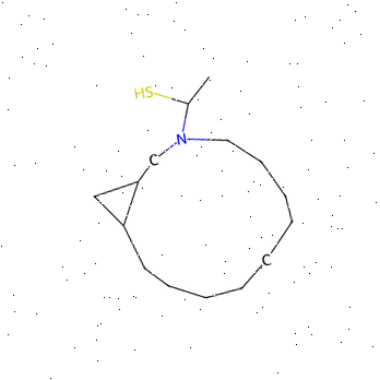 CC(S)N1CCCCCCCCCC2CC2C1